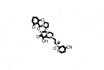 N#Cc1ccnc(S(=O)(=O)CCN2CCn3c([C@@H]4CCCN4C(=O)c4c(Cl)cccc4Cl)nc(=O)c(O)c3C2)c1